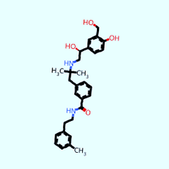 Cc1cccc(CCNC(=O)c2cccc(CC(C)(C)NC[C@@H](O)c3ccc(O)c(CO)c3)c2)c1